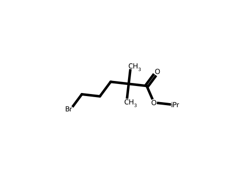 CC(C)OC(=O)C(C)(C)CCCBr